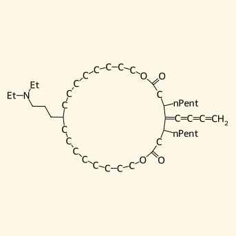 C=C=C=C=C1C(CCCCC)CC(=O)OCCCCCCCCC(CCCN(CC)CC)CCCCCCCCOC(=O)CC1CCCCC